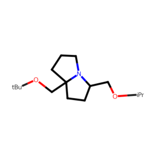 CC(C)OCC1CCC2(COC(C)(C)C)CCCN12